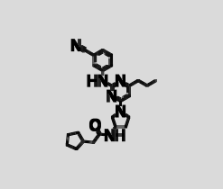 CCCc1cc(N2CCC(NC(=O)CC3CCCC3)C2)nc(Nc2cccc(C#N)c2)n1